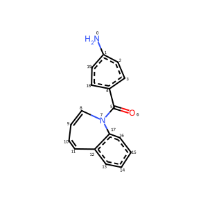 Nc1ccc(C(=O)N2C=CC=Cc3ccccc32)cc1